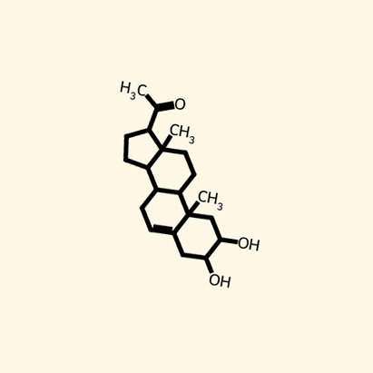 CC(=O)C1CCC2C3CC=C4CC(O)C(O)CC4(C)C3CCC12C